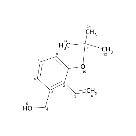 C=Cc1c([CH]O)cccc1OC(C)(C)C